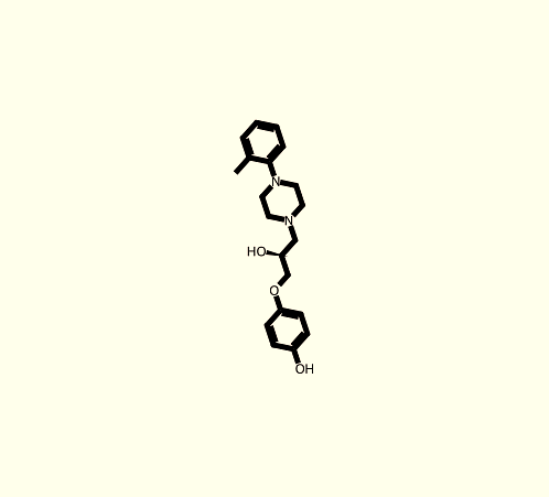 Cc1ccccc1N1CCN(C[C@H](O)COc2ccc(O)cc2)CC1